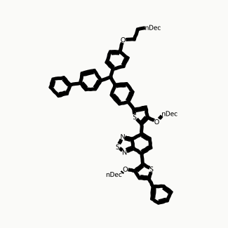 CCCCCCCCCCCCOc1ccc(C(c2ccc(-c3ccccc3)cc2)c2ccc(-c3cc(OCCCCCCCCCC)c(-c4ccc(-c5sc(-c6ccccc6)cc5OCCCCCCCCCC)c5nsnc45)s3)cc2)cc1